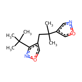 CC(C)(C)c1nocc1CC(C)(C)c1cnoc1